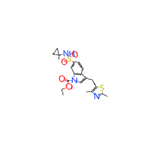 CCOC(=O)n1cc(Cc2sc(C)nc2C)c2ccc(S(=O)(=O)NC3(C)CC3)cc21